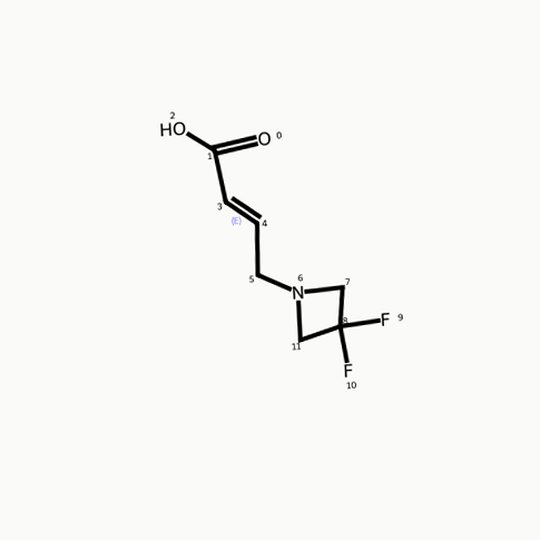 O=C(O)/C=C/CN1CC(F)(F)C1